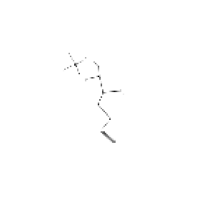 C=CCCC(O)C1COC(C)(C)O1